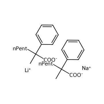 CCCCCC(C)(C(=O)[O-])c1ccccc1.CCCCCC(C)(C(=O)[O-])c1ccccc1.[Li+].[Na+]